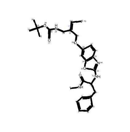 CNC(=O)C(Cc1ccccc1)Nc1nc2ccc(OC/C(=C\F)CNC(=O)OC(C)(C)C)cc2o1